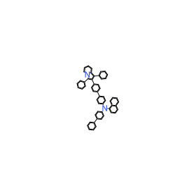 c1ccc(-c2ccc(N(c3ccc(-c4ccc(-c5c(-c6ccccc6)c6ccccn6c5-c5ccccc5)cc4)cc3)c3cccc4ccccc34)cc2)cc1